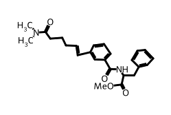 COC(=O)C(Cc1ccccc1)NC(=O)c1cccc(/C=C/CCCC(=O)N(C)C)c1